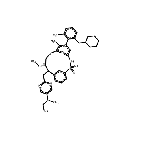 Cc1cccc(CC2CCCCC2)c1-c1nc2nc(c1C)OC[C@@H](CC(C)(C)C)C(Cc1ncc(N(C)CC(C)(C)C)cn1)c1cccc(c1)S(=O)(=O)N2